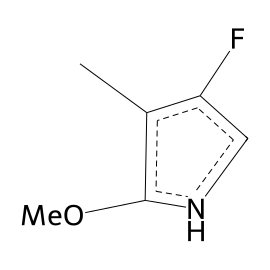 COc1[nH]cc(F)c1C